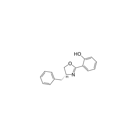 Oc1ccccc1C1=N[C@H](Cc2ccccc2)CO1